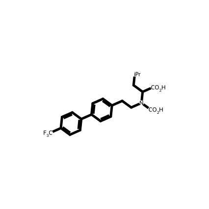 CC(C)CC(C(=O)O)N(CCc1ccc(-c2ccc(C(F)(F)F)cc2)cc1)C(=O)O